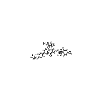 COc1cc(C)c(S(=O)(=O)N(C)Cc2cc(C(=O)N3CCCC(c4ccc(CN5CCCC5)cc4)C3)co2)c(C)c1.NC(=O)C(F)(F)F